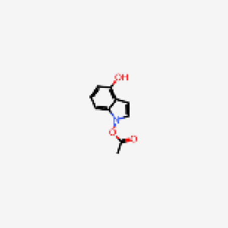 CC(=O)On1ccc2c(O)cccc21